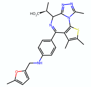 Cc1ccc(CNc2ccc(C3=NC([C@H](C)C(=O)O)c4nnc(C)n4-c4sc(C)c(C)c43)cc2)o1